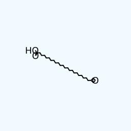 O=C(O)CCCCCCCCCCCCCCCCCCCCCCC1COC1